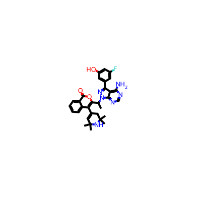 CC(c1oc(=O)c2ccccc2c1C1=CC(C)(C)NC(C)(C)C1)n1nc(-c2cc(O)cc(F)c2)c2c(N)ncnc21